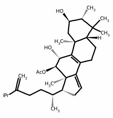 C=C(CC[C@@H](C)[C@H]1CC=C2C3=C([C@@H](O)[C@H](OC(C)=O)[C@@]21C)[C@@]1(C)C[C@@H](O)[C@H](C)C(C)(C)[C@@H]1CC3)C(C)C